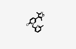 Cc1cccc(Cn2cc(-c3c(C)noc3C)ccc2=O)n1